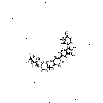 Cn1c(=O)n(C2CCC(=O)NC2=O)c2ccc(C3CCC(CN4CCC(NC(=O)OC(C)(C)C)CC4)CC3)cc21